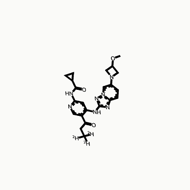 [2H]C([2H])([2H])CC(=O)c1cnc(NC(=O)C2CC2)cc1Nc1nc2ccc(N3CC(OC)C3)cn2n1